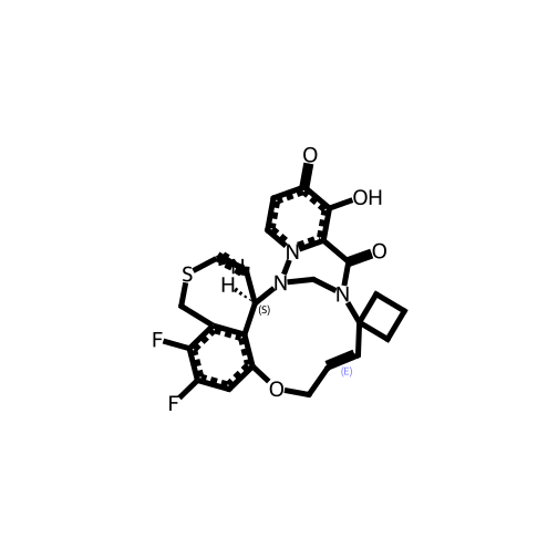 O=C1c2c(O)c(=O)ccn2N2CN1C1(/C=C/COc3cc(F)c(F)c4c3[C@H]2c2ncccc2SC4)CCC1